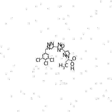 CCC(C(=O)O)n1ccc(-c2nc(-c3cn(Cc4cc(Cl)c(Cl)c(Cl)c4)nn3)no2)n1